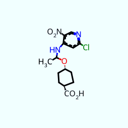 CC(Nc1cc(Cl)ncc1[N+](=O)[O-])O[C@H]1CC[C@H](C(=O)O)CC1